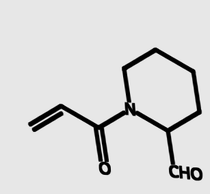 C=CC(=O)N1CCCCC1C=O